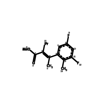 COC(=O)/C(=C(\C)c1cc(F)cc(F)c1C)C(C)C